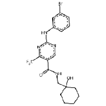 O=C(NCC1(O)CCCCC1)c1cnc(Nc2cccc(Br)c2)nc1C(F)(F)F